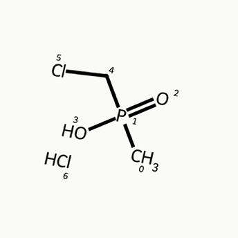 CP(=O)(O)CCl.Cl